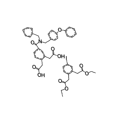 CCOC(=O)Cc1ccc(I)cc1CC(=O)OCC.O=C(O)Cc1ccc(C(=O)N(Cc2ccccc2)Cc2ccc(Oc3ccccc3)cc2)cc1CC(=O)O